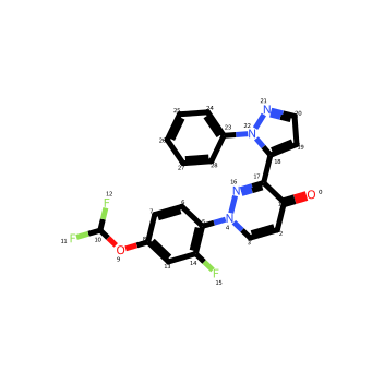 O=c1ccn(-c2ccc(OC(F)F)cc2F)nc1-c1ccnn1-c1ccccc1